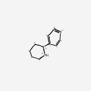 c1cc([C@@H]2CCCCN2)ccn1